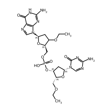 CCOC[C@H]1O[C@@H](n2cnc(N)nc2=O)C[C@H]1OP(=O)(O)OC[C@H]1O[C@@H](n2cnc3c(=O)[nH]c(N)nc32)CC1OCC